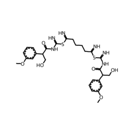 COc1cccc(C(CO)C(=O)NC(=N)SC(=N)CCCCC(=N)SC(=N)NC(=O)C(CO)c2cccc(OC)c2)c1